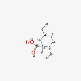 CCC1CCC(CC)C(C)(C(=O)O)C1